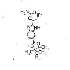 CC(C)CC(OC(N)=O)c1nc2ccc(B3OC(C)(C)C(C)(C)O3)cc2[nH]1